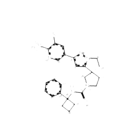 CC(=O)c1cc(-c2cc3n(n2)CC[C@@]32CCN(C(=O)NC3(c4ccccc4)CCC3)C2)cnc1N